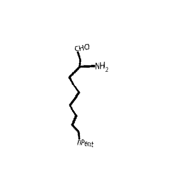 CCCCCCCCCCC(N)C=O